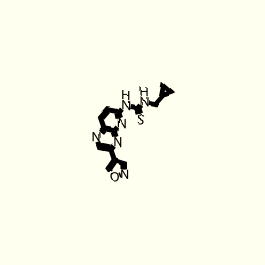 S=C(NCC1CC1)Nc1ccc2ncc(-c3cnoc3)nc2n1